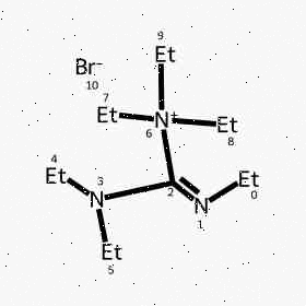 CCN=C(N(CC)CC)[N+](CC)(CC)CC.[Br-]